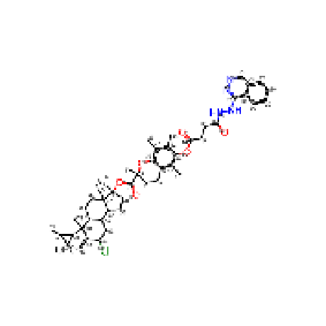 CC(=O)[C@@]1(OC(=O)C2(C)CCc3c(C)c(OC(=O)CCC(=O)NNc4nncc5ccccc45)c(C)c(C)c3O2)CCC2C3CC(Cl)/C(=C/C=O)C(C)([C@H]4CC4C)C3CCC21C